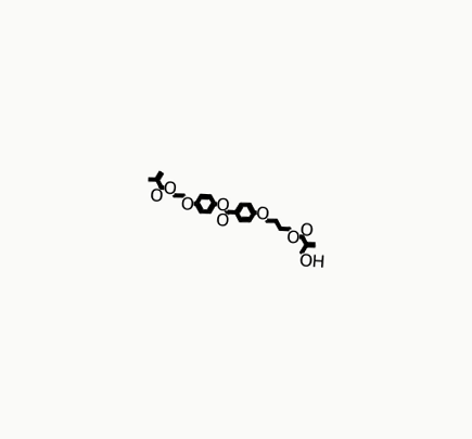 C=C(C)C(=O)OCCOc1ccc(OC(=O)c2ccc(OCCCCOC(=O)C(=C)CO)cc2)cc1